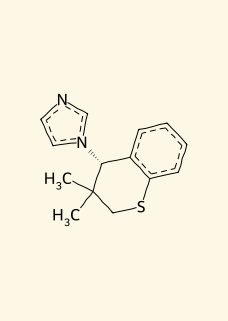 CC1(C)CSc2ccccc2[C@H]1n1ccnc1